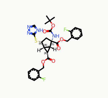 CC(C)(C)OC(=O)N[C@@]1(C(=O)OCc2ccccc2F)C[C@@H](Sc2nnc[nH]2)[C@H]2[C@H](C(=O)OCc3ccccc3F)[C@H]21